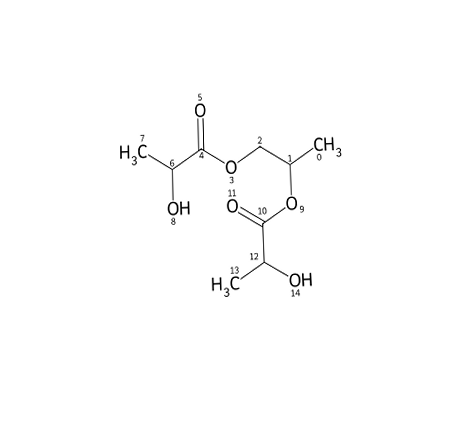 CC(COC(=O)C(C)O)OC(=O)C(C)O